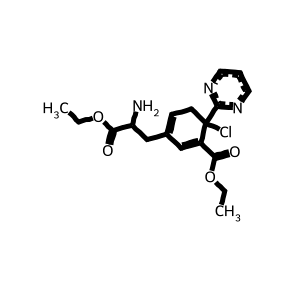 CCOC(=O)C1=CC(CC(N)C(=O)OCC)=CCC1(Cl)c1ncccn1